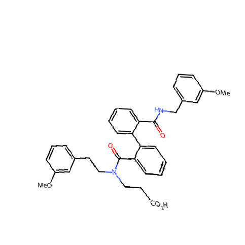 COc1cccc(CCN(CCC(=O)O)C(=O)c2ccccc2-c2ccccc2C(=O)NCc2cccc(OC)c2)c1